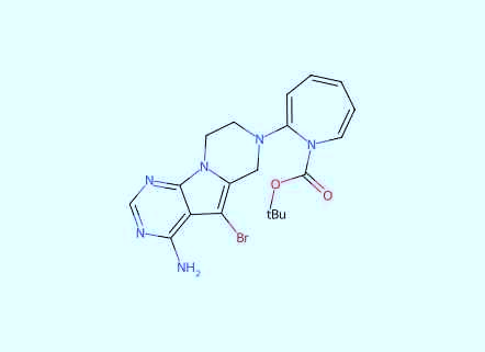 CC(C)(C)OC(=O)N1C=CC=CC=C1N1CCn2c(c(Br)c3c(N)ncnc32)C1